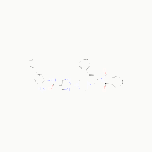 Nc1ccc(-c2cccs2)cc1NC(=O)c1cnc(N2CCN(CC(/C=C/c3ccccc3)N3C(=O)c4ccccc4C3=O)CC2)nc1